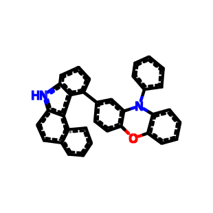 c1ccc(N2c3ccccc3Oc3ccc(-c4cccc5[nH]c6ccc7ccccc7c6c45)cc32)cc1